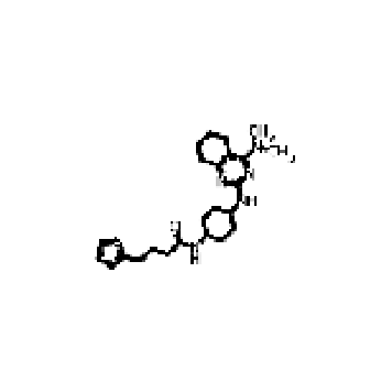 CN(C)c1nc(NC2CCC(NC(=O)CCCc3cccs3)CC2)nc2c1CCCC2